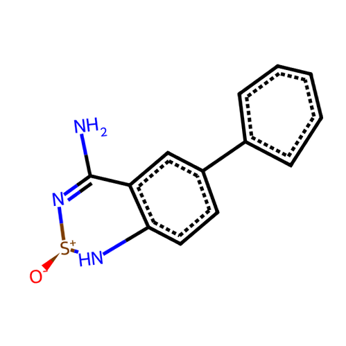 NC1=N[S@+]([O-])Nc2ccc(-c3ccccc3)cc21